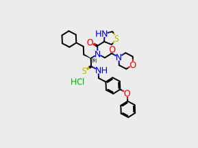 Cl.O=C(CN(C(=O)C1CSCN1)[C@H](CCC1CCCCC1)C(=S)NCc1ccc(Oc2ccccc2)cc1)N1CCOCC1